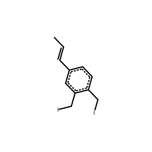 C/C=C/c1ccc(CI)c(CI)c1